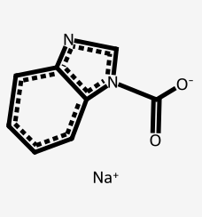 O=C([O-])n1cnc2ccccc21.[Na+]